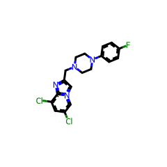 Fc1ccc(N2CCN(Cc3cn4cc(Cl)cc(Cl)c4n3)CC2)cc1